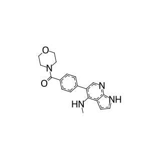 CNc1c(-c2ccc(C(=O)N3CCOCC3)cc2)cnc2[nH]ccc12